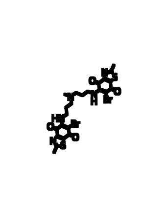 Cc1nc2c(s1)C(=O)C(Br)=C(NCCCN(C)CCCNC1=C(Br)C(=O)c3sc(C)nc3C1=O)C2=O